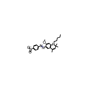 CCCCCN1c2cc(OC)c(/N=N/c3ccc([N+](=O)[O-])cc3)cc2C(C)=CC1(C)C